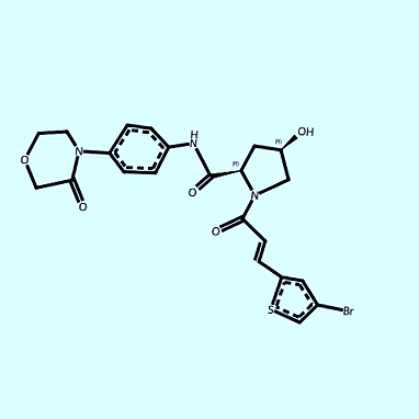 O=C(Nc1ccc(N2CCOCC2=O)cc1)[C@H]1C[C@@H](O)CN1C(=O)C=Cc1cc(Br)cs1